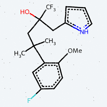 COc1ccc(F)cc1C(C)(C)CC(O)(Cc1ccc[nH]1)C(F)(F)F